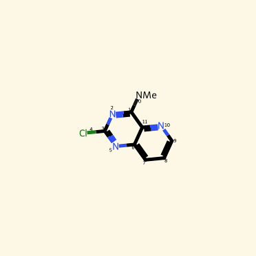 CNc1nc(Cl)nc2cccnc12